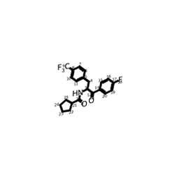 O=C(NC(Cc1ccc(C(F)(F)F)cc1)C(=O)c1ccc(F)cc1)C1CCCC1